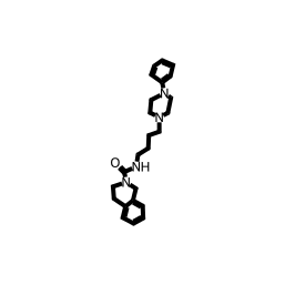 O=C(NCCCCN1CCN(c2ccccc2)CC1)N1CCc2ccccc2C1